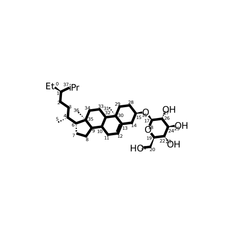 CC[C@H](CC[C@@H](C)[C@H]1CCC2C3CC=C4C[C@H](O[C@@H]5O[C@H](CO)[C@@H](O)[C@H](O)[C@H]5O)CC[C@]4(C)C3CC[C@@]21C)C(C)C